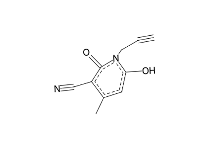 C#CCn1c(O)cc(C)c(C#N)c1=O